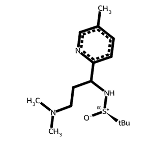 Cc1ccc(C(CCN(C)C)N[S@+]([O-])C(C)(C)C)nc1